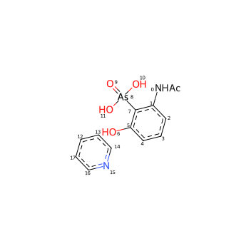 CC(=O)Nc1cccc(O)c1[As](=O)(O)O.c1ccncc1